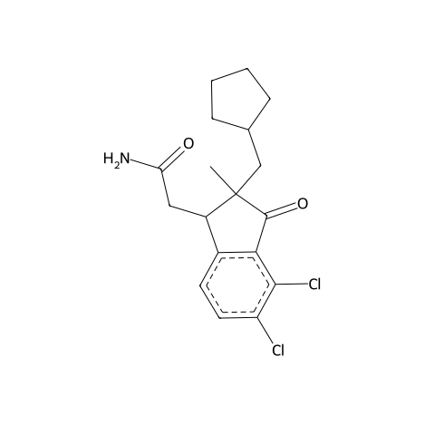 CC1(CC2CCCC2)C(=O)c2c(ccc(Cl)c2Cl)C1CC(N)=O